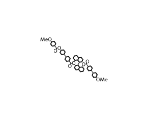 COc1ccc(C(=O)Oc2ccc(-c3ccc(C(=O)Oc4ccc5ccccc5c4-c4c(OC(=O)c5ccc(-c6ccc(OC)cc6)cc5)ccc5ccccc45)cc3)cc2)cc1